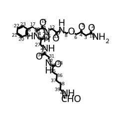 NC(=O)CC(=O)COCNC(=O)CNC(=O)[C@H](Cc1ccccc1)NC(=O)CNC(=O)CNC(=O)CCCCCNC=O